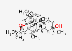 CC[C@]1(O)CC[C@@]2(C)C(=CC([C@H](C)CC[C@H](O)C(C)C)[C@H]3[C@@H]4CCC[C@]4(CC)CC[C@@H]32)C1